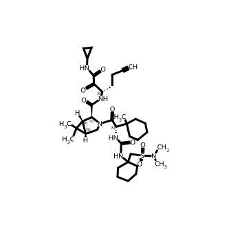 C#CCC[C@H](NC(=O)[C@@H]1[C@@H]2[C@H](CN1C(=O)[C@@H](NC(=O)NC1(CS(=O)(=O)N(C)C)CCCCC1)C1(C)CCCCC1)C2(C)C)C(=O)C(=O)NC1CC1